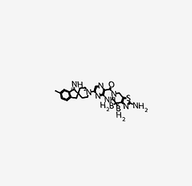 BC1(B)CN(C(=O)c2ncc(N3CCC4(CC3)Cc3ccc(C)cc3[C@H]4N)nc2N)Cc2sc(N)nc21